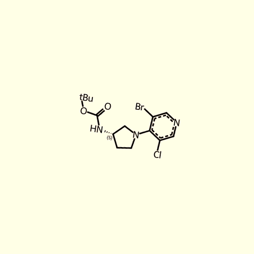 CC(C)(C)OC(=O)N[C@H]1CCN(c2c(Cl)cncc2Br)C1